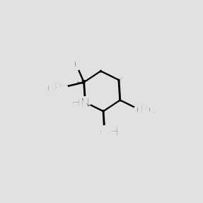 CCCC1(CC)CCC(C(C)(C)C)C(O)N1